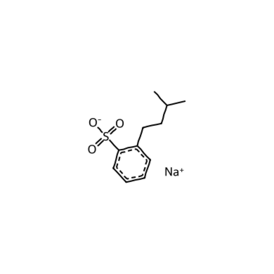 CC(C)CCc1ccccc1S(=O)(=O)[O-].[Na+]